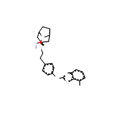 NC(=O)N1[C@@H]2CC[C@H]1C[C@H](NCCc1ccc(Oc3nc4c(F)cccc4s3)cc1)C2